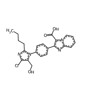 CCCCc1nc(Cl)c(CO)n1-c1ccc(-c2nc3ccccn3c2C(=O)O)cc1